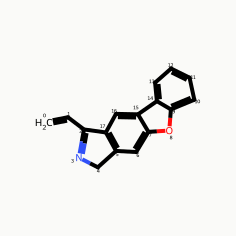 C=CC1=NCc2cc3oc4ccccc4c3cc21